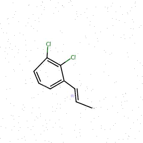 [CH2]/C=C/c1cccc(Cl)c1Cl